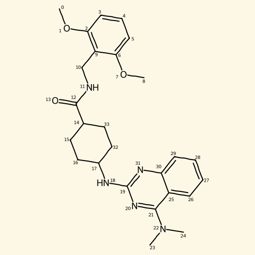 COc1cccc(OC)c1CNC(=O)C1CCC(Nc2nc(N(C)C)c3ccccc3n2)CC1